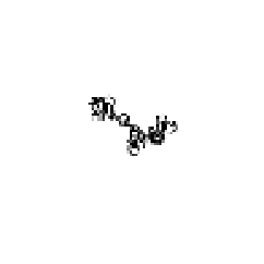 COC(=O)c1cccc(C(COCCOCCNC(=O)OC(C)(C)C)OS(C)(=O)=O)n1